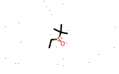 CC[S+]([O-])C(C)(C)C